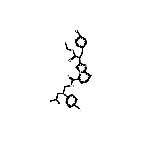 CCOC(=O)C(Cc1ccc(Cl)cc1)c1cn2c(C(=O)NCC(CC(C)C)c3ccc(Cl)cc3)cccc2n1